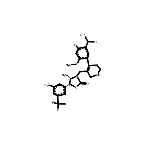 COc1cc(F)c(C(C)C)cc1C1=C(CN2C(=O)O[C@H](c3cc(C)cc(C(F)(F)F)c3)[C@@H]2C)CNCC1